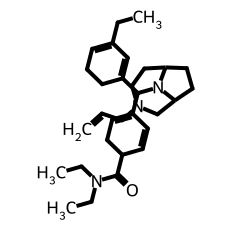 C=CCN1CCC2CCC(C1)N2C(C1=CCC(C(=O)N(CC)CC)C=C1)C1=CC(CC)=CCC1